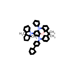 CC1(C)c2cccc3c2B2c4c(cc(N5c6ccccc6C6(C)CCCCC56C)cc4N(c4ccc(-c5ccccc5)cc4)c4cccc1c42)N3c1ccccc1